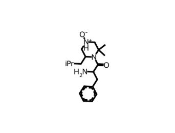 CC(C)CC1C[NH+]([O-])CC(C)(C)N1C(=O)C(N)Cc1ccccc1